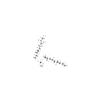 FC(F)(F)C(F)(F)C(F)(F)C(F)(F)C(F)(F)C(F)(F)C(F)(F)C(F)(F)C(F)(F)C(F)(F)SCC1(CSC(F)(F)C(F)(F)C(F)(F)C(F)(F)C(F)(F)C(F)(F)C(F)(F)C(F)(F)C(F)(F)C(F)(F)F)CCO1